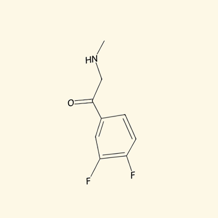 CNCC(=O)c1ccc(F)c(F)c1